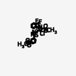 COC(=O)c1nn(-c2ccccc2C(F)(F)F)c(-c2nnc(-c3cccc(S(C)(=O)=O)c3)s2)c1Cl